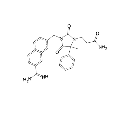 CC1(c2ccccc2)C(=O)N(Cc2ccc3ccc(C(=N)N)cc3c2)C(=O)N1CCC(N)=O